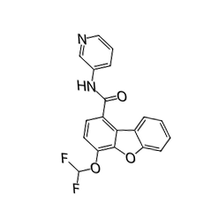 O=C(Nc1cccnc1)c1ccc(OC(F)F)c2oc3ccccc3c12